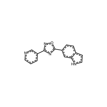 c1cncc(-c2noc(-c3ccc4cc[nH]c4c3)n2)c1